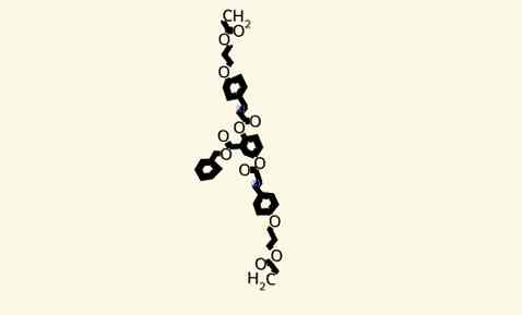 C=CC(=O)OCCCOc1ccc(/C=C/C(=O)Oc2ccc(OC(=O)/C=C/c3ccc(OCCCOC(=O)C=C)cc3)c(C(=O)OCc3ccccc3)c2)cc1